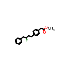 COC(=O)Cc1ccc(CCC(F)Cc2ccccc2)cc1